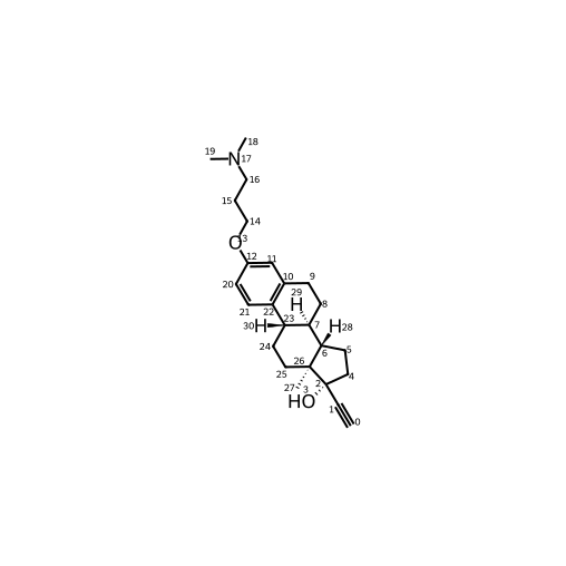 C#C[C@]1(O)CC[C@H]2[C@@H]3CCc4cc(OCCCN(C)C)ccc4[C@H]3CC[C@@]21C